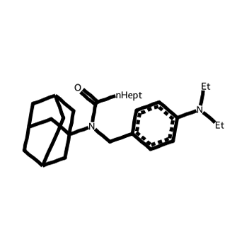 CCCCCCCC(=O)N(Cc1ccc(N(CC)CC)cc1)C12CC3CC(CC(C3)C1)C2